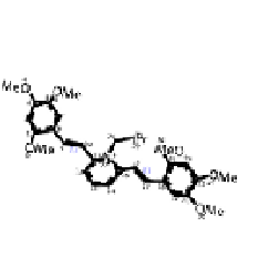 COc1cc(OC)c(OC)cc1/C=C/c1cccc(/C=C/c2cc(OC)c(OC)cc2OC)[n+]1CC(C)C